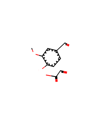 COc1cc(C=O)ccc1O.O=CC(=O)O